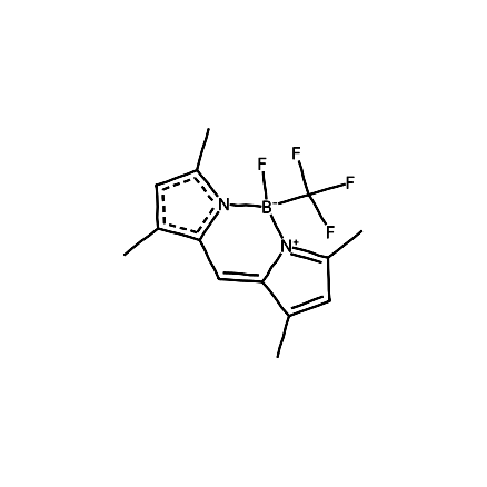 CC1=CC(C)=[N+]2C1=Cc1c(C)cc(C)n1[B-]2(F)C(F)(F)F